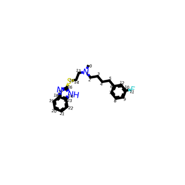 CN(CCCCc1cccc(F)c1)CCSc1nc2ccccc2[nH]1